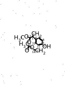 C=C(C(=O)OC)c1ccc(O)cc1.C=COC(C)=O